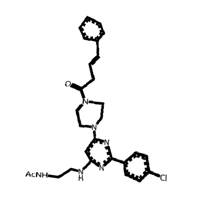 CC(=O)NCCNc1cc(N2CCN(C(=O)CC=Cc3ccccc3)CC2)nc(-c2ccc(Cl)cc2)n1